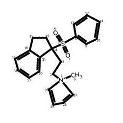 C[N+]1(CCC2(S(=O)(=O)c3ccccc3)CCc3ccccc32)C=CC=C1